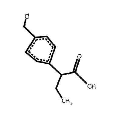 CCC(C(=O)O)c1ccc(CCl)cc1